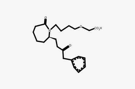 O=C(O)COCCCCN1C(=O)CCCC[C@@H]1CCC(=O)Cc1ccccc1